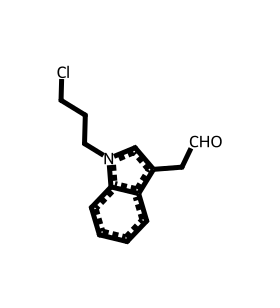 O=CCc1cn(CCCCl)c2ccccc12